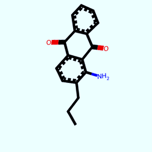 CCCc1ccc2c(c1N)C(=O)c1ccccc1C2=O